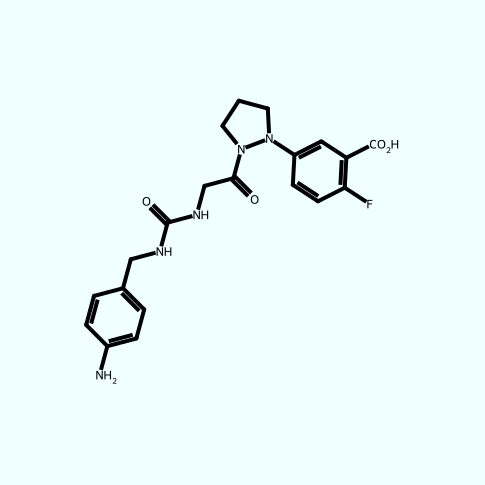 Nc1ccc(CNC(=O)NCC(=O)N2CCCN2c2ccc(F)c(C(=O)O)c2)cc1